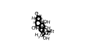 CCC(=O)O[C@]1(C(=O)CO)[C@H](C)C[C@H]2[C@H]3[C@H]([C@@H](O)C[C@@]21C)[C@@]1(C)C=CC(=O)C=C1C[C@H]3Cl